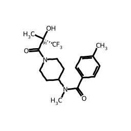 Cc1ccc(C(=O)N(C)C2CCN(C(=O)[C@@](C)(O)C(F)(F)F)CC2)cc1